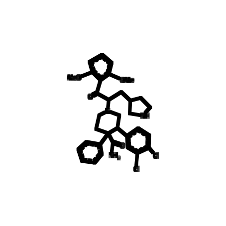 COc1cccc(OC)c1C(=O)C(CC1CCNC1)N1CCC(C(N)=O)(c2ccccc2)C(c2ccc(Cl)c(Cl)c2)C1